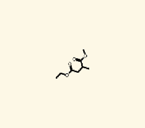 CCOC(=O)CC(C)C(=O)OC